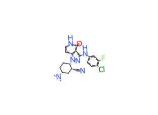 CN(C)[C@@H]1CC[C@H](n2nc(Nc3ccc(Cl)c(F)c3)c3c(=O)[nH]ccc32)[C@@H](C#N)C1